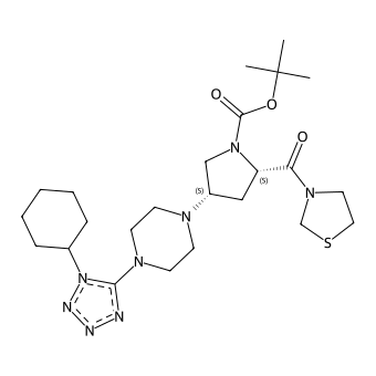 CC(C)(C)OC(=O)N1C[C@@H](N2CCN(c3nnnn3C3CCCCC3)CC2)C[C@H]1C(=O)N1CCSC1